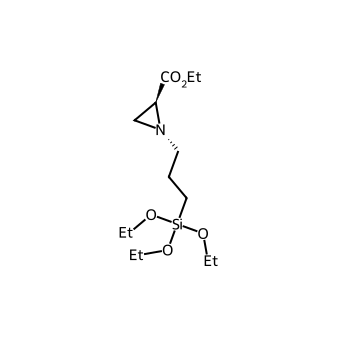 CCOC(=O)[C@@H]1C[N@@]1CCC[Si](OCC)(OCC)OCC